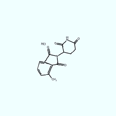 Cc1cccc2c1C(=O)N(C1CCC(=O)NC1=O)C2=O.Cl